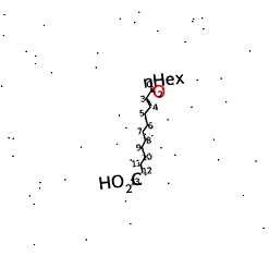 CCCCCCC(=O)C=CCCCCCCCCC(=O)O